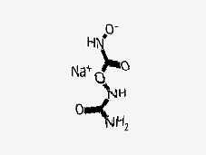 NC(=O)NOC(=O)N[O-].[Na+]